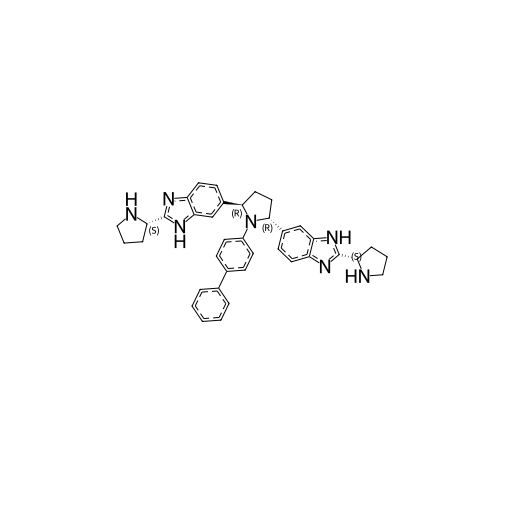 c1ccc(-c2ccc(N3[C@@H](c4ccc5nc([C@@H]6CCCN6)[nH]c5c4)CC[C@@H]3c3ccc4nc([C@@H]5CCCN5)[nH]c4c3)cc2)cc1